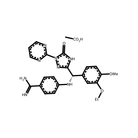 CC(=O)O.CCOc1cc([C@H](Nc2ccc(C(=N)N)cc2)c2nn(-c3ncccn3)c(=O)[nH]2)ccc1OC